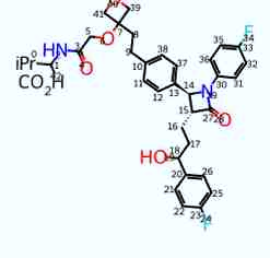 CC(C)C(NC(=O)COC1(CCc2ccc([C@@H]3[C@@H](CCC(O)c4ccc(F)cc4)C(=O)N3c3ccc(F)cc3)cc2)COC1)C(=O)O